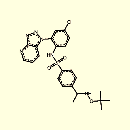 CC(NOC(C)(C)C)c1ccc(S(=O)(=O)Nc2ccc(Cl)cc2-n2nnc3ncccc32)cc1